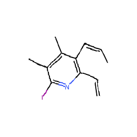 C=Cc1nc(I)c(C)c(C)c1/C=C\C